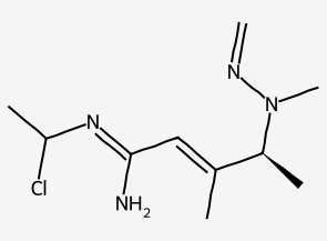 C=NN(C)[C@@H](C)/C(C)=C/C(N)=N/C(C)Cl